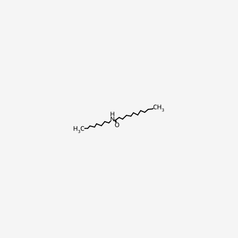 CCCCCCCCCCCC(=O)NCCCCCCCC